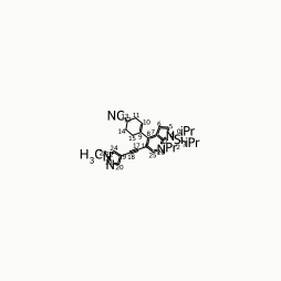 CC(C)[Si](C(C)C)(C(C)C)n1ccc2c(C3=CCC(C#N)CC3)c(C#Cc3cnn(C)c3)cnc21